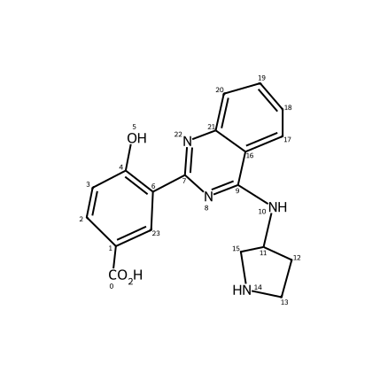 O=C(O)c1ccc(O)c(-c2nc(NC3CCNC3)c3ccccc3n2)c1